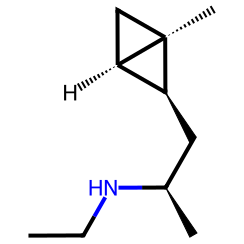 CCN[C@H](C)C[C@H]1[C@H]2C[C@]21C